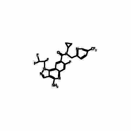 Nc1nc2cc(F)c(C(=O)N(Cc3ccc(C(F)(F)F)cn3)C3CC3)cc2c2c1cnn2C(F)C(F)F